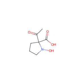 CC(=O)C1(C(=O)O)CCCN1O